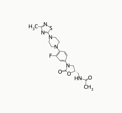 CC(=O)NC[C@H]1CN(c2ccc(N3CCN(c4nc(C)ns4)CC3)c(F)c2)C(=O)O1